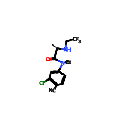 CCN(C(=O)[C@H](C)NCC(F)(F)F)c1ccc(C#N)c(Cl)c1